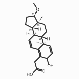 CO[C@@H]1CC[C@H]2[C@@H]3C=CC4=C(CC(=O)O)C(O)C=C[C@]4(C)[C@H]3CC[C@]12C